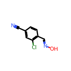 N#Cc1ccc(C=NO)c(Cl)c1